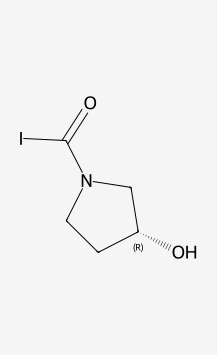 O=C(I)N1CC[C@@H](O)C1